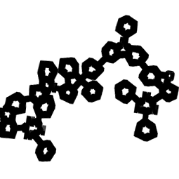 c1ccc(-c2nc(-c3ccccc3)nc(-c3cccc4oc5cc(-c6ccc7c(c6)c6cc(-c8ccc(C9(c%10ccccc%10)c%10ccccc%10-c%10c(-n%11c%12ccccc%12c%12cc(-c%13ccc%14sc%15cccc(-c%16nc(-c%17ccccc%17)nc(-c%17ccccc%17)n%16)c%15c%14c%13)ccc%12%11)cccc%109)cc8)ccc6n7-c6ccccc6)ccc5c34)n2)cc1